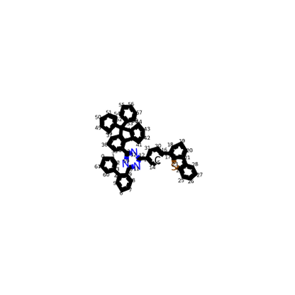 c1ccc(-c2ccccc2-c2nc(-c3ccc(-c4cccc5c4sc4ccccc45)cc3)nc(-c3cccc4c3-c3ccccc3C4(c3ccccc3)c3ccccc3)n2)cc1